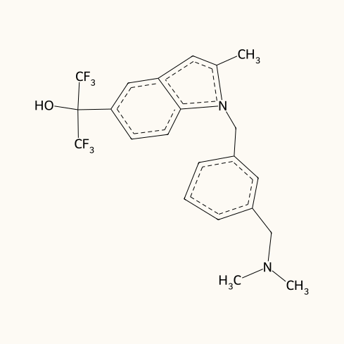 Cc1cc2cc(C(O)(C(F)(F)F)C(F)(F)F)ccc2n1Cc1cccc(CN(C)C)c1